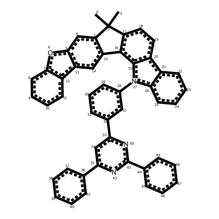 CC1(C)c2cc3oc4ccccc4c3cc2-c2c1ccc1c3ccccc3n(-c3cccc(-c4cc(-c5ccccc5)nc(-c5ccccc5)n4)c3)c21